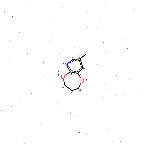 Cc1cnc2c(c1)OCCCO2